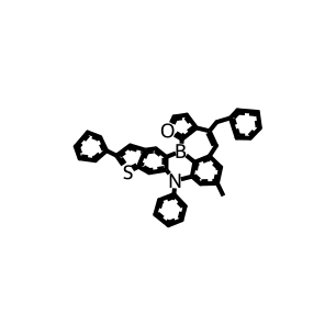 Cc1cc2c3c(c1)N(c1ccccc1)c1cc4sc(-c5ccccc5)cc4cc1B3c1occc1C(Cc1ccccc1)=C2